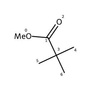 COC(=O)C(C)(C)C